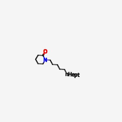 CCCCCCCCCCCCN1CCCCC1=O